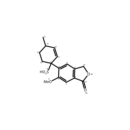 COc1cc2c(cc1C1(S(=O)(=O)O)C=CC(C)CC1)COC2=O